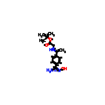 CC(NCC(=O)OC(C)(C)C)c1ccc(/C(N)=N\O)cc1